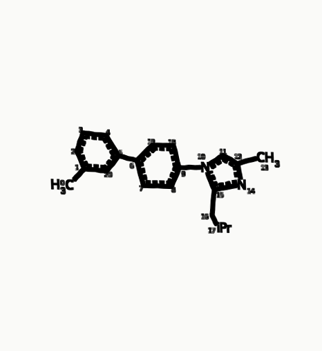 Cc1cccc(-c2ccc(-n3cc(C)nc3CC(C)C)cc2)c1